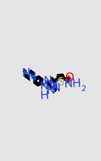 CN1CCN(c2ccc(Nc3ncc(-c4ccc(C(N)=O)s4)n4ncnc34)cc2)CC1